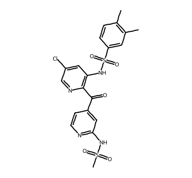 Cc1ccc(S(=O)(=O)Nc2cc(Cl)cnc2C(=O)c2ccnc(NS(C)(=O)=O)c2)cc1C